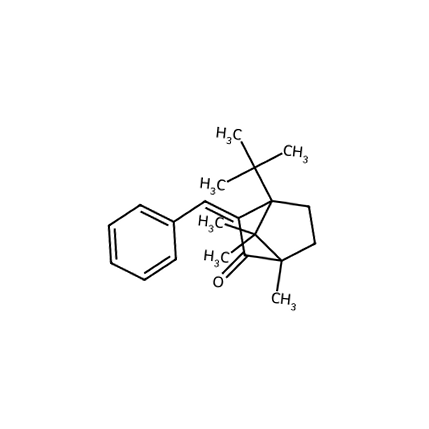 CC(C)(C)C12CCC(C)(C(=O)C1=Cc1ccccc1)C2(C)C